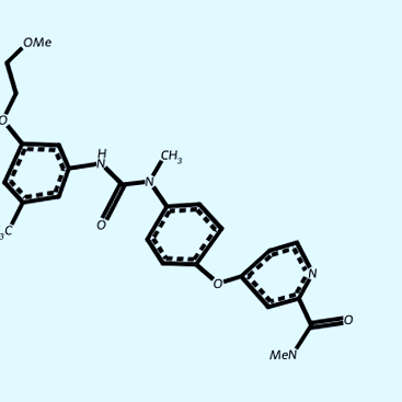 CNC(=O)c1cc(Oc2ccc(N(C)C(=O)Nc3cc(OCCOC)cc(C(F)(F)F)c3)cc2)ccn1